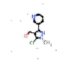 Cn1nc(-c2cccnc2)c(C=O)c1Cl